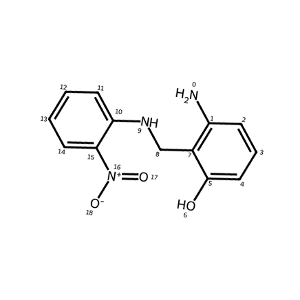 Nc1cccc(O)c1CNc1ccccc1[N+](=O)[O-]